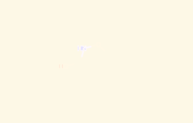 OC1=Cc2ccccc2ON1